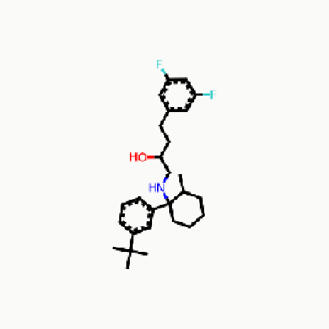 CC1CCCCC1(NCC(O)CCc1cc(F)cc(F)c1)c1cccc(C(C)(C)C)c1